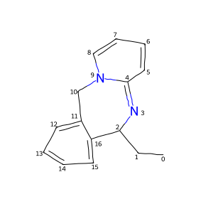 CCC1N=C2C=CC=CN2Cc2ccccc21